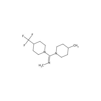 CN=C(N1CCC(C)CC1)N1CCC(C(F)(F)F)CC1